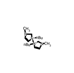 CCCC[N+]1([N+]2(CCCC)C=CN(C)C2)C=CN(C)C1